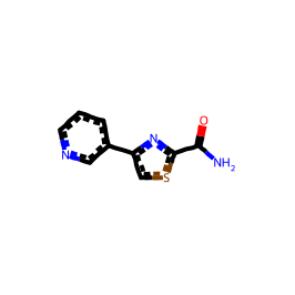 NC(=O)c1nc(-c2cccnc2)cs1